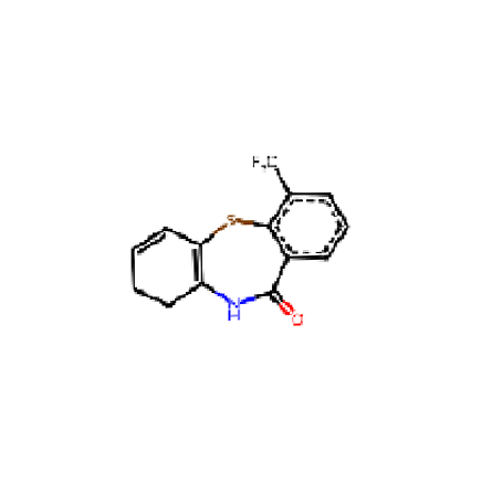 O=C1NC2=C(C=CCC2)Sc2c1cccc2C(F)(F)F